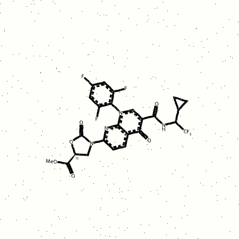 COC(=O)[C@@H]1CN(c2ccc3c(=O)c(C(=O)NC(C4CC4)C(F)(F)F)cn(-c4c(F)cc(F)cc4F)c3n2)C(=O)O1